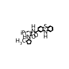 CC(C)C[C@H](NC(=O)C1=CC2Nc3ccccc3SC2C=C1)C(=O)N[C@H]1CCCC1C